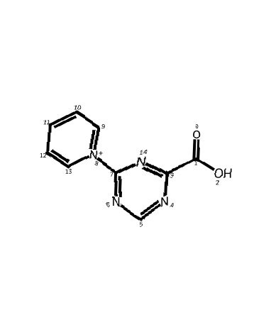 O=C(O)c1n[c]nc(-[n+]2ccccc2)n1